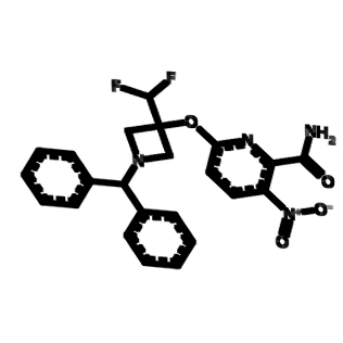 NC(=O)c1nc(OC2(C(F)F)CN(C(c3ccccc3)c3ccccc3)C2)ccc1[N+](=O)[O-]